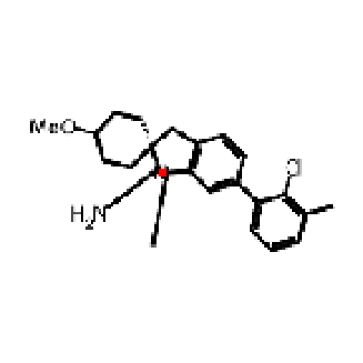 CO[C@H]1CC[C@]2(CC1)Cc1ccc(-c3cccc(C)c3Cl)cc1C21N=C(C)C(N)=N1